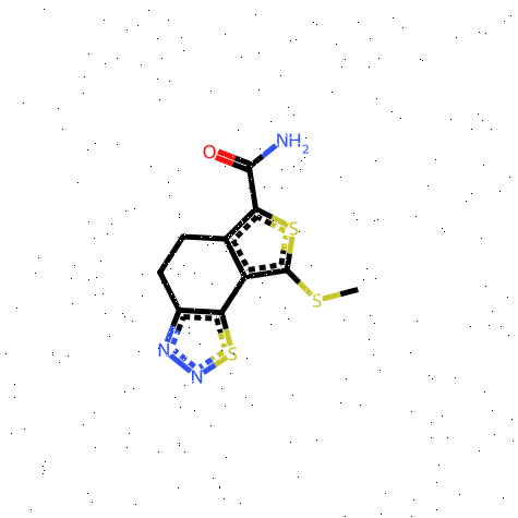 CSc1sc(C(N)=O)c2c1-c1snnc1CC2